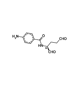 Nc1ccc(C(=O)N[C@H](C=O)CCC=O)cc1